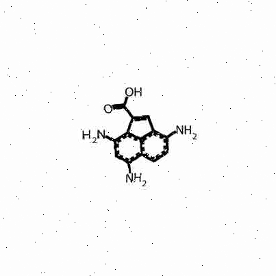 Nc1ccc2c(N)cc(N)c3c2c1C=C3C(=O)O